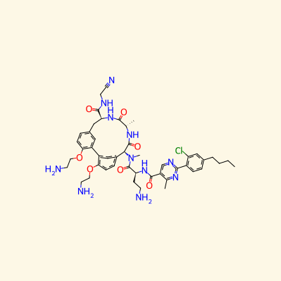 CCCCc1ccc(-c2ncc(C(=O)N[C@@H](CCN)C(=O)N(C)[C@@H]3C(=O)N[C@@H](C)C(=O)N[C@H](C(=O)NCC#N)Cc4ccc(OCCN)c(c4)-c4cc3ccc4OCCN)c(C)n2)c(Cl)c1